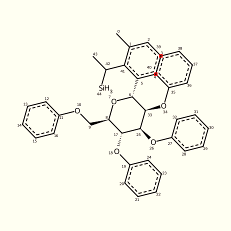 Cc1cccc([C@H]2O[C@H](COc3ccccc3)[C@@H](Oc3ccccc3)[C@H](Oc3ccccc3)[C@@H]2Oc2ccccc2)c1C(C)[SiH3]